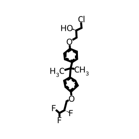 CC(C)(c1ccc(OC[C@H](O)CCl)cc1)c1ccc(OC[C@H](F)C(F)F)cc1